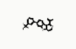 C=C(C)c1nccc2sc3cc(-c4cccc(C(F)(F)F)c4)ccc3c12